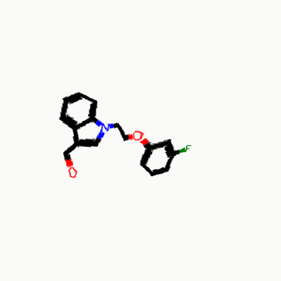 O=Cc1cn(CCOc2cccc(F)c2)c2ccccc12